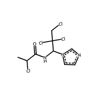 CC(Cl)C(=O)NC(n1ccnc1)C(Cl)(Cl)CCl